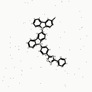 Cc1ccc2c(c1)c1ccccc1n2-c1ccc2c(c1)c1ccccc1n2-c1ccc(-c2nc(-c3ccccc3)no2)cc1